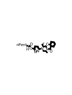 CCCCCNC(=O)Oc1ccc(N2CC(C)N(C(=O)c3ccccc3C(F)(F)F)CC2C)nn1